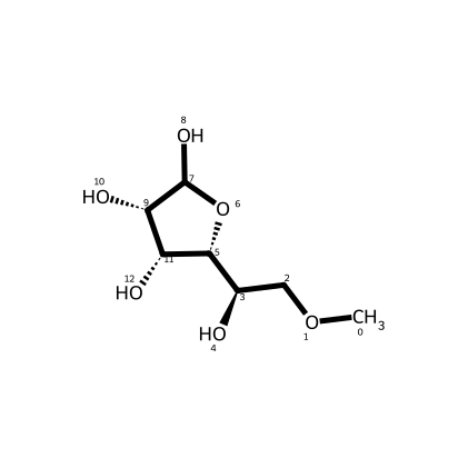 COC[C@@H](O)[C@H]1OC(O)[C@@H](O)[C@H]1O